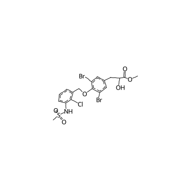 COC(=O)C(O)Cc1cc(Br)c(OCc2cccc(NS(C)(=O)=O)c2Cl)c(Br)c1